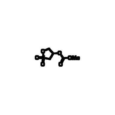 COC(=O)O[C@@H]1COS(=O)(=O)C1